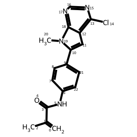 C=C(C)C(=O)Nc1ccc(-c2cc3c(Cl)ncnc3n2C)cc1